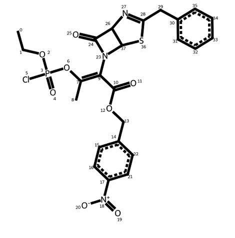 CCOP(=O)(Cl)OC(C)=C(C(=O)OCc1ccc([N+](=O)[O-])cc1)N1C(=O)C2N=C(Cc3ccccc3)SC21